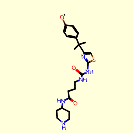 COc1ccc(C(C)(C)c2csc(NC(=O)NCCCC(=O)NC3CCNCC3)n2)cc1